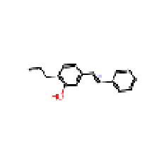 C=CCc1ccc(/C=C/c2ccccc2)cc1O